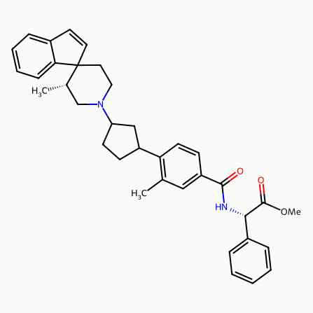 COC(=O)[C@@H](NC(=O)c1ccc(C2CCC(N3CCC4(C=Cc5ccccc54)[C@@H](C)C3)C2)c(C)c1)c1ccccc1